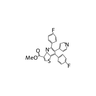 COC(=O)c1csc2c(-c3ccc(F)cc3)c(-c3ccncc3)c(-c3ccc(F)cc3)nc12